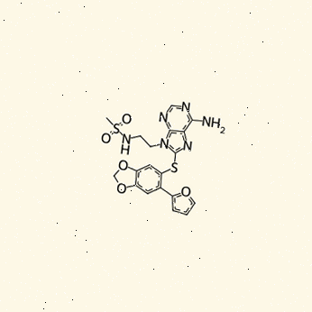 CS(=O)(=O)NCCn1c(Sc2cc3c(cc2-c2ccco2)OCO3)nc2c(N)ncnc21